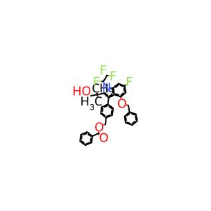 CC(C)(CO)c1c(-c2ccc(COC(=O)c3ccccc3)cc2)c2c(OCc3ccccc3)cc(F)cc2n1C(F)C(F)F